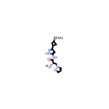 CC(=O)NC1CC(c2cc(NC(=O)[C@@H](C)Cn3cccn3)[nH]n2)C1